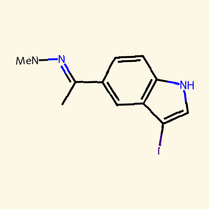 CN/N=C(\C)c1ccc2[nH]cc(I)c2c1